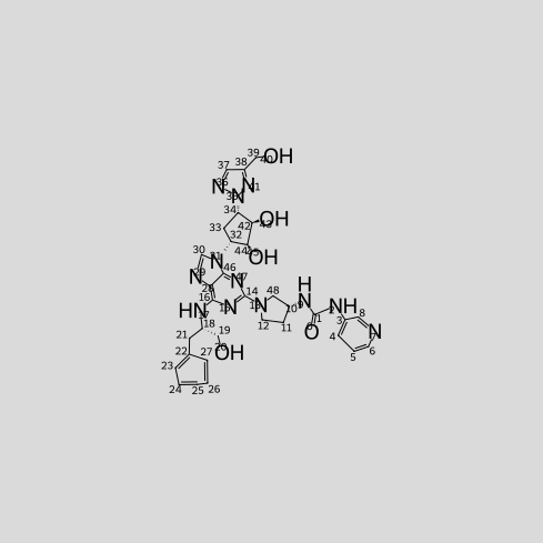 O=C(Nc1cccnc1)N[C@@H]1CCN(c2nc(N[C@H](CO)Cc3ccccc3)c3ncn([C@@H]4C[C@H](n5ncc(CO)n5)[C@@H](O)[C@H]4O)c3n2)C1